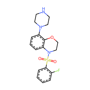 O=S(=O)(c1ccccc1F)N1CCOc2c(N3CCNCC3)cccc21